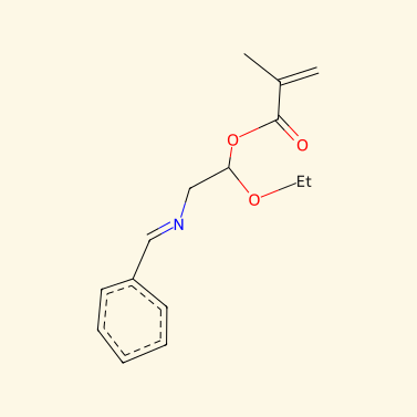 C=C(C)C(=O)OC(CN=Cc1ccccc1)OCC